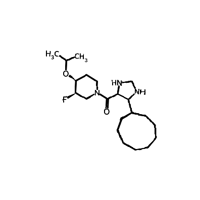 CC(C)O[C@H]1CCN(C(=O)C2NCNC2C2CCCCCCCC2)C[C@H]1F